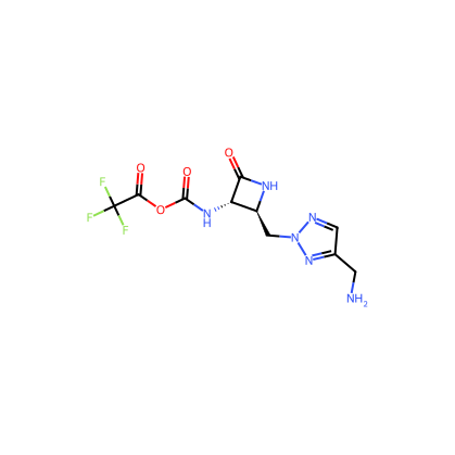 NCc1cnn(C[C@@H]2NC(=O)[C@H]2NC(=O)OC(=O)C(F)(F)F)n1